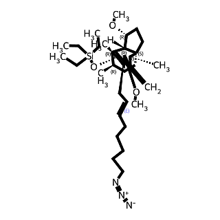 C=C1[C@H](C)[C@@]23CC[C@@H](C)[C@](C)([C@@H]2[C@H](OC)CC3)[C@H](O[Si](CC)(CC)CC)C[C@@]1(C/C=C/CCCCCN=[N+]=[N-])OC